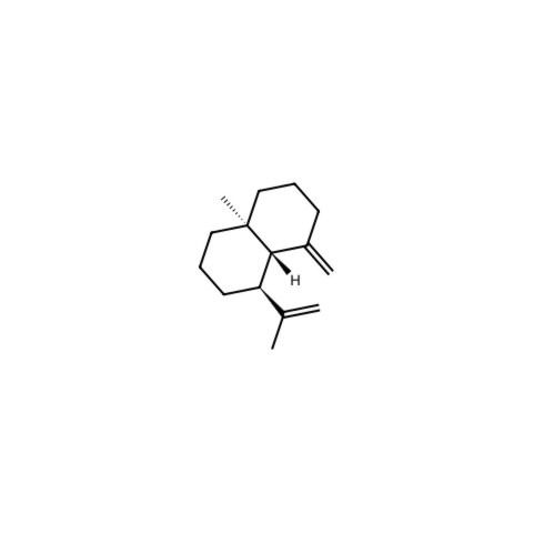 C=C(C)[C@H]1CCC[C@@]2(C)CCCC(=C)[C@H]12